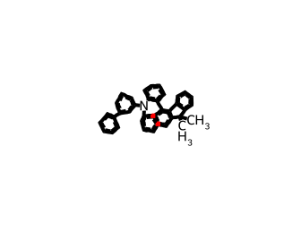 CC1(C)c2ccccc2-c2c(-c3ccccc3N(c3ccccc3)c3cccc(-c4ccccc4)c3)cccc21